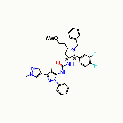 COCCC1C[C@@H](NC(=O)Nc2c(C)c(-c3cnn(C)c3)nn2-c2ccccc2)[C@H](c2ccc(F)c(F)c2)N1Cc1ccccc1